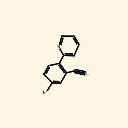 N#Cc1cc(Br)ccc1-c1ccccn1